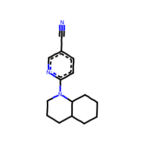 N#Cc1ccc(N2CCCC3CCCCC32)nc1